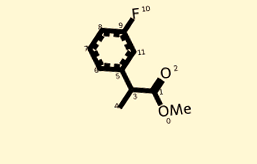 COC(=O)C(C)c1cccc(F)c1